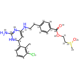 Cc1c(Cl)cccc1C1C=C(NCCc2ccc(C(=O)OCC[S+](C)[O-])cc2)N=C(N)N1